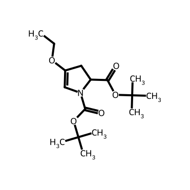 CCOC1=CN(C(=O)OC(C)(C)C)C(C(=O)OC(C)(C)C)C1